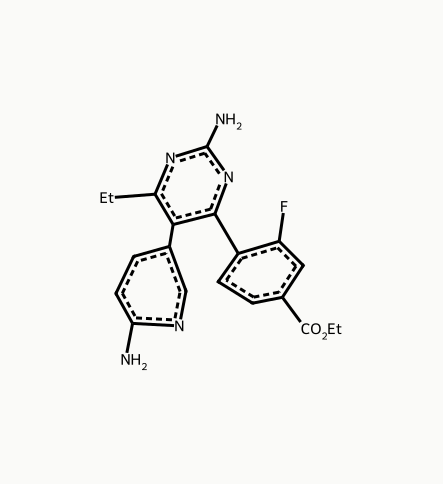 CCOC(=O)c1ccc(-c2nc(N)nc(CC)c2-c2ccc(N)nc2)c(F)c1